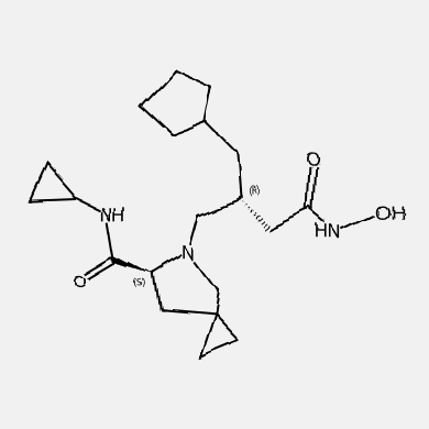 O=C(C[C@@H](CC1CCCC1)CN1CC2(CC2)C[C@H]1C(=O)NC1CC1)NO